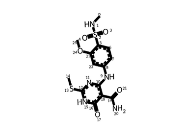 CNS(=O)(=O)c1ccc(Nc2nc(SC)[nH]c(=O)c2C(N)=O)cc1OC